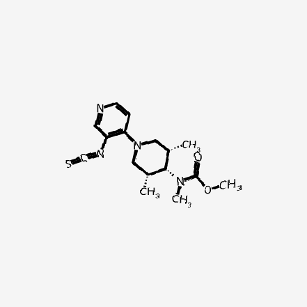 COC(=O)N(C)[C@@H]1[C@H](C)CN(c2ccncc2N=C=S)C[C@@H]1C